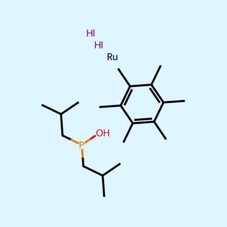 CC(C)CP(O)CC(C)C.Cc1c(C)c(C)c(C)c(C)c1C.I.I.[Ru]